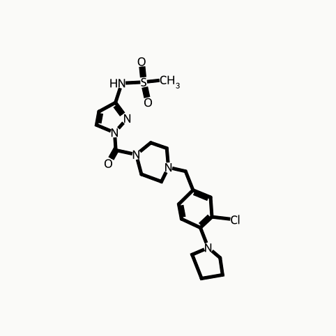 CS(=O)(=O)Nc1ccn(C(=O)N2CCN(Cc3ccc(N4CCCC4)c(Cl)c3)CC2)n1